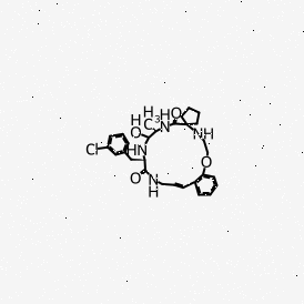 C[C@H]1NC(=O)C2(CCCC2)NCCOc2ccccc2/C=C/CNC(=O)[C@@H](Cc2cccc(Cl)c2)NC1O